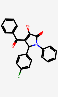 O=C(C1=C(O)C(=O)N(c2ccccc2)C1c1ccc(Cl)cc1)c1ccccc1